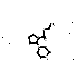 CCOC(=O)C1CCCC1N1CCOCC1